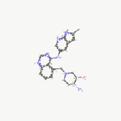 Cc1cc2cc(Nc3ncnc4cccc(CN5CC[C@@H](N)[C@H](O)C5)c34)cnc2[nH]1